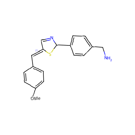 COc1ccc(/C=C2/C=NC(c3ccc(CN)cc3)S2)cc1